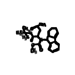 COC(=O)N(C(CC(=O)O)C(=O)OC(C)(C)C)C1c2ccccc2-c2ccccc21